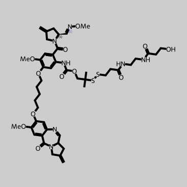 C=C1CC2C=Nc3cc(OCCCCCOc4cc(NC(=O)OCC(C)(C)SSCCC(=O)NCCNC(=O)CCO)c(C(=O)N5CC(=C)C[C@H]5/C=N/OC)cc4OC)c(OC)cc3C(=O)N2C1